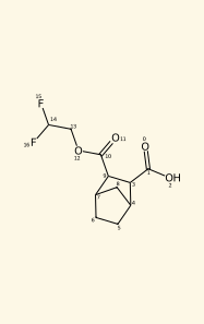 O=C(O)C1C2CCC(C2)C1C(=O)OCC(F)F